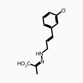 C/C(=N/NC/C=C/c1cccc(Cl)c1)C(=O)O